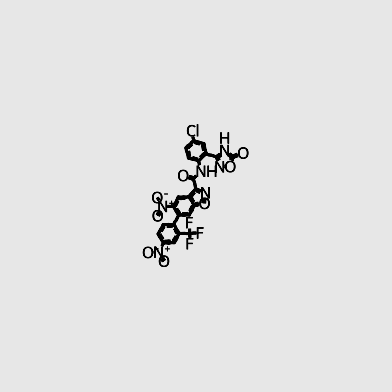 O=C(Nc1ccc(Cl)cc1-c1noc(=O)[nH]1)c1noc2cc(-c3ccc([N+](=O)[O-])cc3C(F)(F)F)c([N+](=O)[O-])cc12